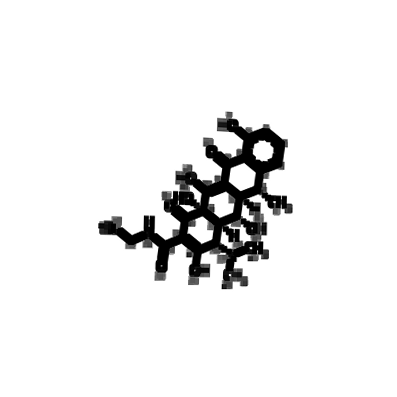 C[C@H]1c2cccc(O)c2C(=O)C2=C(O)[C@]3(O)C(=O)C(C(=O)NCC(C)(C)C)=C(O)[C@@H](N(C)C)[C@@H]3[C@@H](O)[C@@H]21